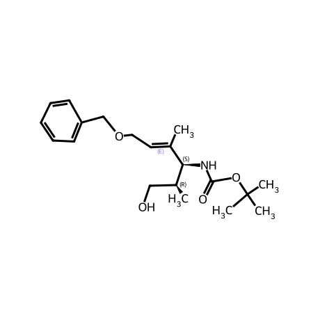 C/C(=C\COCc1ccccc1)[C@@H](NC(=O)OC(C)(C)C)[C@@H](C)CO